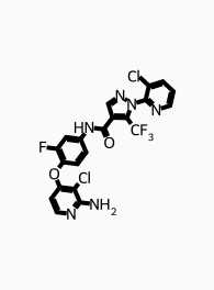 Nc1nccc(Oc2ccc(NC(=O)c3cnn(-c4ncccc4Cl)c3C(F)(F)F)cc2F)c1Cl